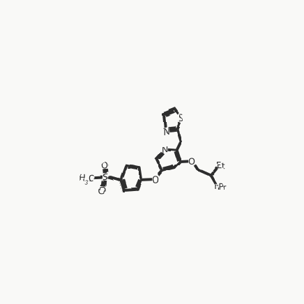 CCCC(CC)COc1cc(Oc2ccc(S(C)(=O)=O)cc2)cnc1Cc1nccs1